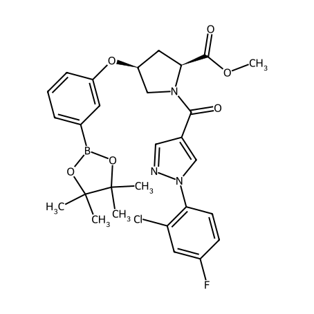 COC(=O)[C@@H]1C[C@H](Oc2cccc(B3OC(C)(C)C(C)(C)O3)c2)CN1C(=O)c1cnn(-c2ccc(F)cc2Cl)c1